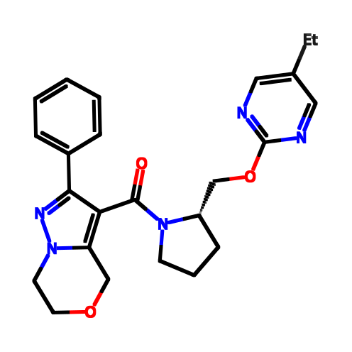 CCc1cnc(OC[C@@H]2CCCN2C(=O)c2c(-c3ccccc3)nn3c2COCC3)nc1